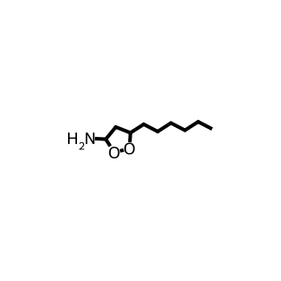 CCCCCCC1CC(N)OO1